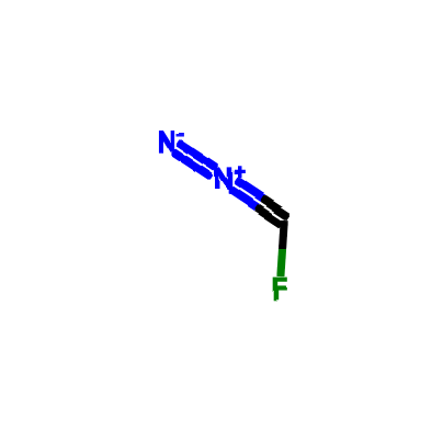 [N-]=[N+]=CF